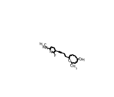 CNc1ccc(C#C/C=C/c2cccc(O)ccc(C)o2)c(F)n1